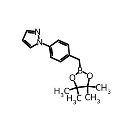 CC1(C)OB(Cc2ccc(-n3cccn3)cc2)OC1(C)C